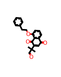 CC(C)(C=O)C1=CC(=O)c2cccc(OCCc3ccccc3)c2C1=O